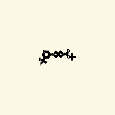 CC(C)(C)OC(=O)N1CC2(C1)CN(c1cncc(C(F)(F)F)c1)C2